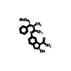 COC[C@@H](c1ccccc1)N(C)C(C)=Nc1ccc2c(c1)C(C(N)=O)[C@H](O)C2